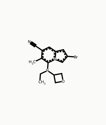 CCN(c1c(C)c(C#N)cc2cc(Br)cn12)C1COC1